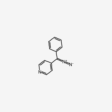 [N-]=[N+]=C(c1ccccc1)c1ccncc1